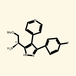 COC[C@H](N)c1[nH]nc(-c2ccc(F)cc2)c1-c1ccncc1